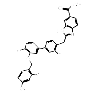 COC(=O)c1ccc2nc(Cc3ccc(-c4ccc(F)c(OCc5ccc(C#N)cc5F)c4)cc3F)[nH]c2c1